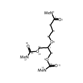 CNC(=O)CCCOC(COC(=O)NC)COC(=O)NC